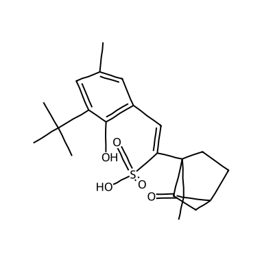 Cc1cc(C=C(C23CCC(CC2=O)C3(C)C)S(=O)(=O)O)c(O)c(C(C)(C)C)c1